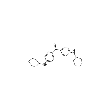 O=C(c1ccc(NC2CCCCC2)cc1)c1ccc(NC2CCCCC2)cc1